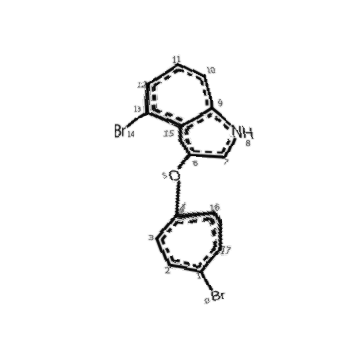 Brc1ccc(Oc2c[nH]c3cccc(Br)c23)cc1